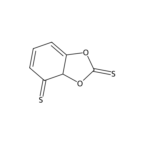 S=C1OC2=CC=CC(=S)C2O1